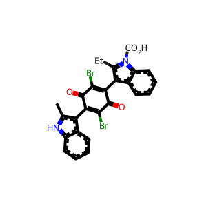 CCc1c(C2=C(Br)C(=O)C(c3c(C)[nH]c4ccccc34)=C(Br)C2=O)c2ccccc2n1C(=O)O